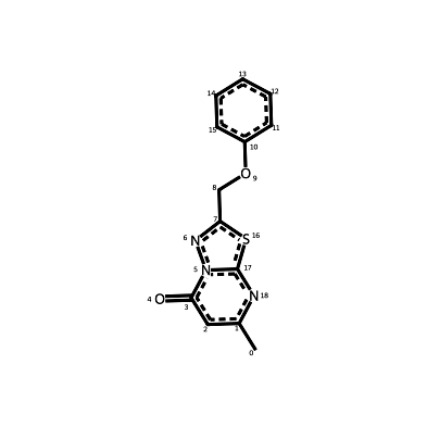 Cc1cc(=O)n2nc(COc3ccccc3)sc2n1